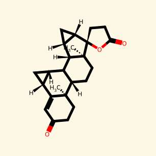 C[C@]12CCC(=O)C=C1[C@@H]1C[C@@H]1C1[C@@H]3[C@@H]4C[C@@H]4[C@@]4(CCC(=O)O4)[C@@]3(C)CC[C@@H]12